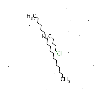 CCCCCCCCCCCCCCCCCCC.CCCCCCl